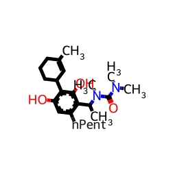 CCCCCc1cc(O)c(C2C=C(C)CCC2)c(O)c1C(C)N(C)C(=O)N(C)C